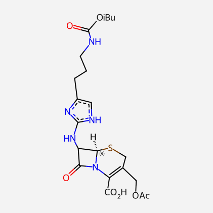 CC(=O)OCC1=C(C(=O)O)N2C(=O)C(Nc3nc(CCCNC(=O)OCC(C)C)c[nH]3)[C@H]2SC1